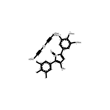 CCCCCCCCCCC#[C][Pd][C]#CCCCCCCCCCC.CCCCCCc1cc(C2=CC(CCCC)=C(c3cc(C)c(C)c(C)c3)[N+]2=[N-])cc(CCCCCC)c1CCCCCC